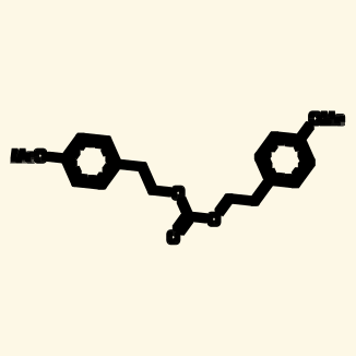 COc1ccc(CCOC(=O)OCCc2ccc(OC)cc2)cc1